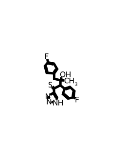 CC(O)(Cc1ccc(F)cc1)C(C(=S)c1c[nH]nn1)c1ccc(F)cc1